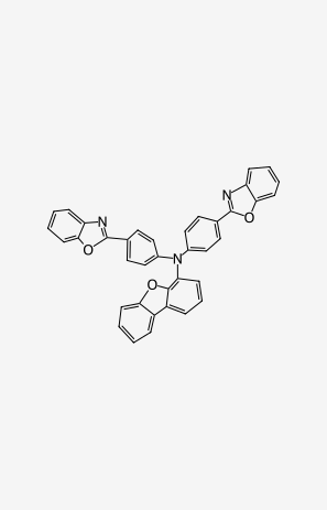 c1ccc2oc(-c3ccc(N(c4ccc(-c5nc6ccccc6o5)cc4)c4cccc5c4oc4ccccc45)cc3)nc2c1